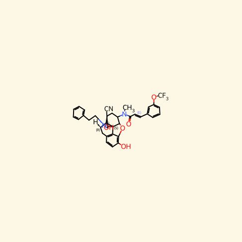 CN(C(=O)/C=C/c1cccc(OC(F)(F)F)c1)C1CC[C@@]2(O)[C@H]3Cc4ccc(O)c5c4[C@@]2(CC(C#N)N3CCc2ccccc2)C1O5